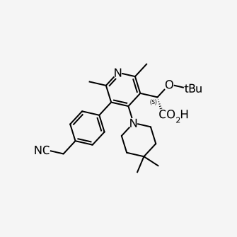 Cc1nc(C)c([C@H](OC(C)(C)C)C(=O)O)c(N2CCC(C)(C)CC2)c1-c1ccc(CC#N)cc1